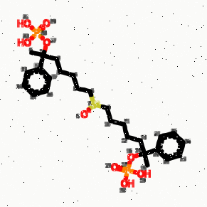 CC(CCCCC[S+]([O-])CCCCCC(C)(OP(=O)(O)O)c1ccccc1)(OP(=O)(O)O)c1ccccc1